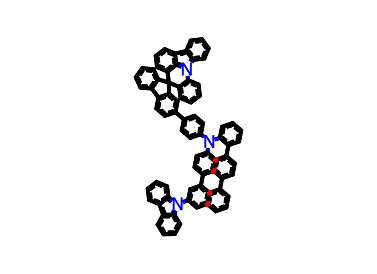 c1ccc(-c2ccc(-c3ccccc3N(c3ccc(-c4cccc(-n5c6ccccc6c6ccccc65)c4)cc3)c3ccc(-c4ccc5c(c4)C4(c6ccccc6-5)c5ccccc5-n5c6ccccc6c6cccc4c65)cc3)cc2)cc1